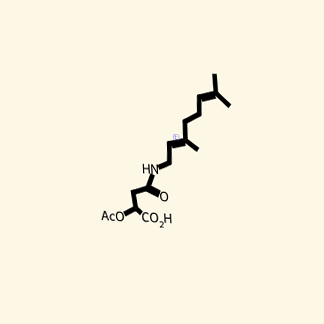 CC(=O)OC(CC(=O)NC/C=C(\C)CCC=C(C)C)C(=O)O